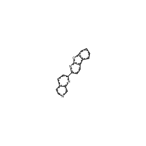 c1ccc2c(c1)oc1nc(-c3ccc4ccncc4n3)ccc12